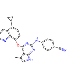 Cc1c[nH]c2nc(Nc3ccc(C#N)cc3)nc(Oc3ccc(C4CC4)c4cccnc34)c12